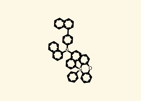 c1ccc([Si]2(c3cccc4c(N(c5ccc(-c6cccc7ccccc67)cc5)c5cccc6ccccc56)cccc34)c3ccccc3Oc3ccccc32)cc1